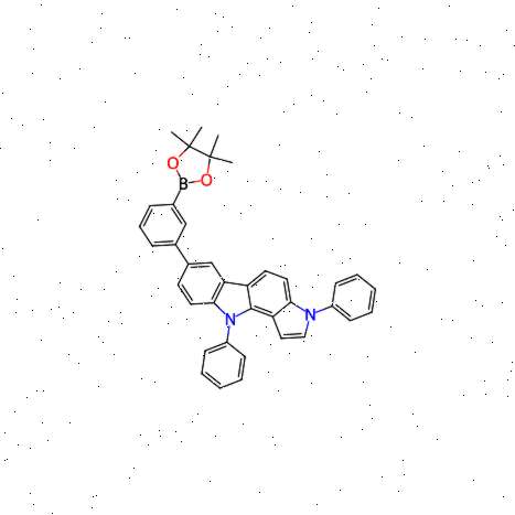 CC1(C)OB(c2cccc(-c3ccc4c(c3)c3ccc5c(ccn5-c5ccccc5)c3n4-c3ccccc3)c2)OC1(C)C